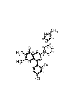 Cc1nc2c(-c3ccc(Cl)cc3F)nc(N3CCO[C@H](c4cnn(C)c4)C3)cc2c(=O)n1C